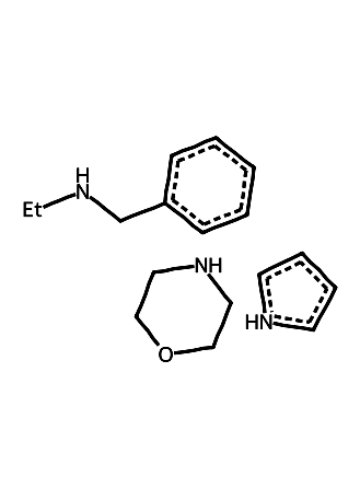 C1COCCN1.CCNCc1ccccc1.c1cc[nH]c1